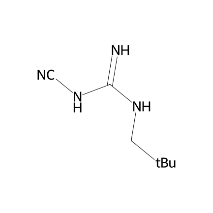 CC(C)(C)CNC(=N)NC#N